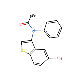 CCCC(=O)N(c1ccccc1)c1csc2ccc(O)cc12